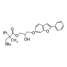 CC(C)C(C)(CC(C)(C)C)C(=O)OCC(O)COc1ccc2cc(-c3ccccc3)oc2c1